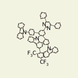 FC(F)(F)c1ccc(-c2ccc3c(c2)c2ccccc2n3-c2c(-c3ccc(-n4c5ccccc5c5ccccc54)cc3)cc(-c3nc(-c4ccccc4)cc(-c4ccccc4)n3)cc2-c2ccc(-n3c4ccccc4c4ccccc43)cc2)c(C(F)(F)F)c1